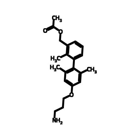 CC(=O)OCc1cccc(-c2c(C)cc(OCCCN)cc2C)c1C